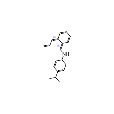 C=C/C=c1/cccc/c1=C\NC1C=CC(C(C)C)=CC1